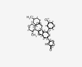 CC1CCC(Cn2c(N3[C@H](C)COC[C@H]3C)nc3cc(-c4noc(=O)[nH]4)nc(-c4cncc(Cl)c4)c32)CC1